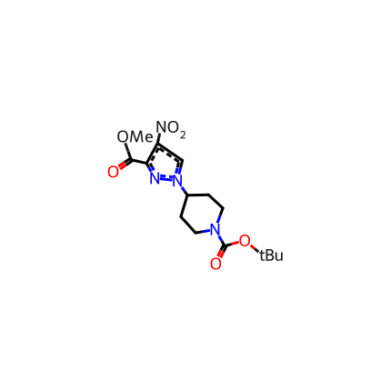 COC(=O)c1nn(C2CCN(C(=O)OC(C)(C)C)CC2)cc1[N+](=O)[O-]